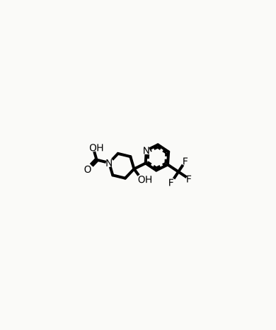 O=C(O)N1CCC(O)(c2cc(C(F)(F)F)ccn2)CC1